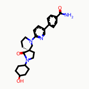 NC(=O)c1ccc(-c2ccc(N3CCC[C@@]4(CCN(C5CCC(O)CC5)C4=O)C3)nc2)cc1